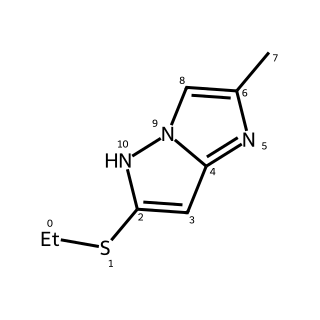 CCSc1cc2nc(C)cn2[nH]1